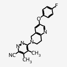 Cc1c(C#N)nnc(N2CCc3ncc(Oc4ccc(F)cc4)cc3C2)c1C